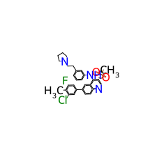 Cc1c(F)cc(-c2ccc3ncc(S(C)(=O)=O)c(Nc4cccc(CCN5CCCC5)c4)c3c2)cc1Cl